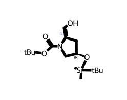 CC(C)(C)OC(=O)N1C[C@H](O[Si](C)(C)C(C)(C)C)C/C1=C\O